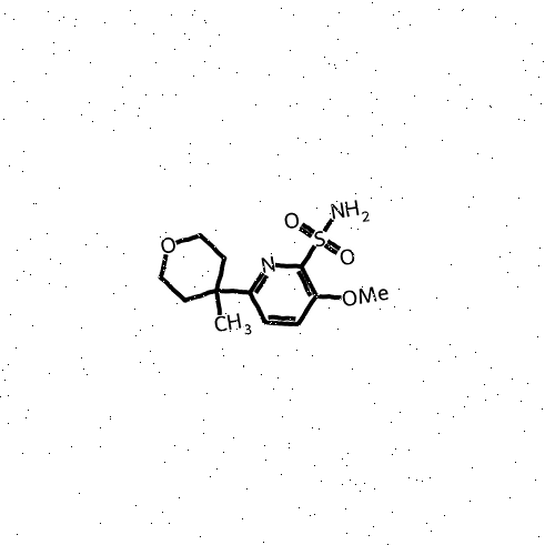 COc1ccc(C2(C)CCOCC2)nc1S(N)(=O)=O